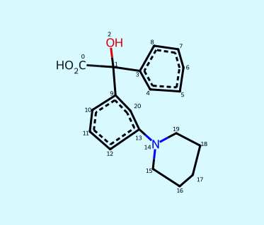 O=C(O)C(O)(c1ccccc1)c1cccc(N2CCCCC2)c1